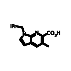 Cc1cc2ccn(CC(C)C)c2nc1C(=O)O